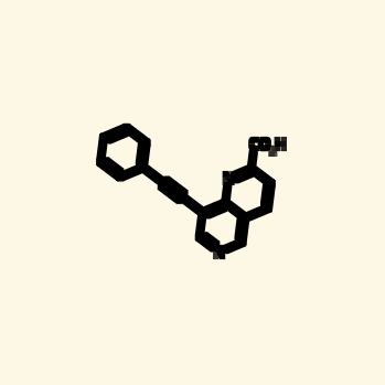 O=C(O)c1ccc2cncc(C#Cc3ccccc3)c2n1